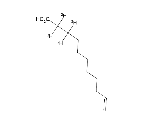 [2H]C([2H])(CCCCCCC=C)C([2H])([2H])C(=O)O